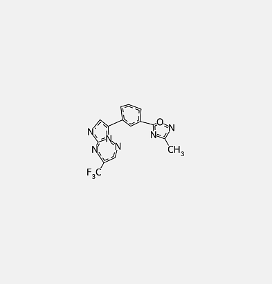 Cc1noc(-c2cccc(-c3cnc4nc(C(F)(F)F)cnn34)c2)n1